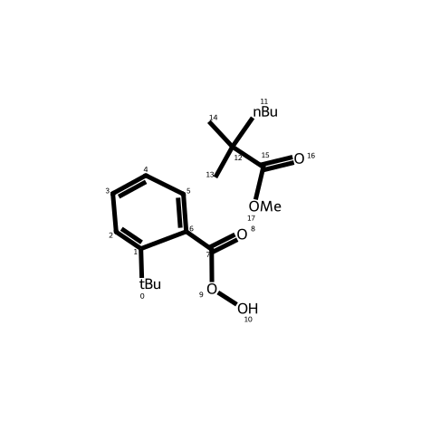 CC(C)(C)c1ccccc1C(=O)OO.CCCCC(C)(C)C(=O)OC